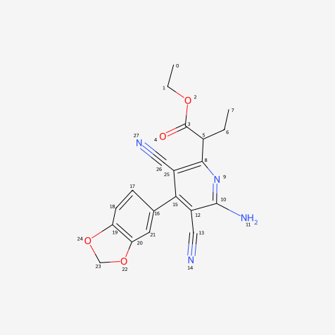 CCOC(=O)C(CC)c1nc(N)c(C#N)c(-c2ccc3c(c2)OCO3)c1C#N